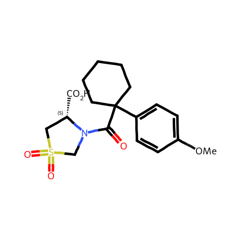 COc1ccc(C2(C(=O)N3CS(=O)(=O)C[C@@H]3C(=O)O)CCCCC2)cc1